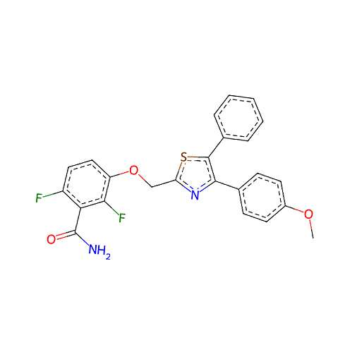 COc1ccc(-c2nc(COc3ccc(F)c(C(N)=O)c3F)sc2-c2ccccc2)cc1